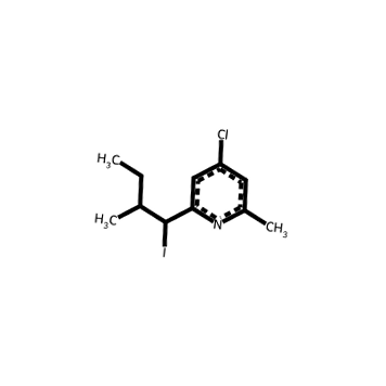 CCC(C)C(I)c1cc(Cl)cc(C)n1